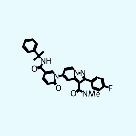 CNC(=O)c1c(-c2ccc(F)cc2)nn2ccc(-n3cc(C(=O)NC(C)(C)c4ccccc4)ccc3=O)cc12